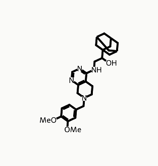 COc1ccc(CN2CCc3c(ncnc3NCC(O)C34CC5CC(CC(C5)C3)C4)C2)cc1OC